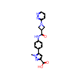 Cn1nc(C(=O)O)cc1-c1ccc(NC(=O)C2CN(c3cccnn3)C2)cc1